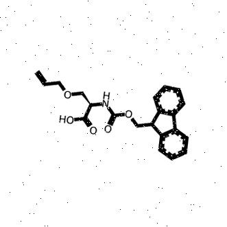 C=CCOC[C@@H](NC(=O)OCC1c2ccccc2-c2ccccc21)C(=O)O